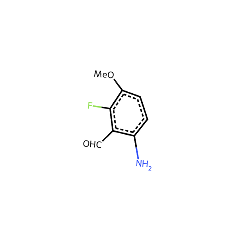 COc1ccc(N)c(C=O)c1F